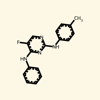 Cc1ccc(Nc2ncc(F)c(Nc3ccccc3)n2)cc1